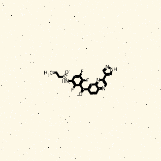 CCC[S+]([O-])Nc1cc(F)c(F)c(C(=O)c2ccc3ncc(-c4cn[nH]c4)nc3c2)c1F